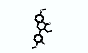 CCC1C(=O)c2cc(OC)ccc2CC1c1ccc(OC)c(F)c1